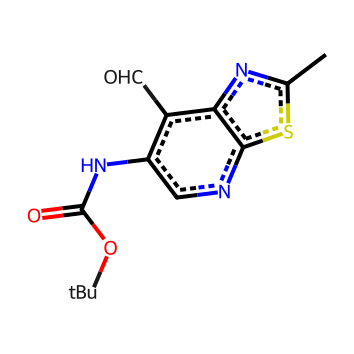 Cc1nc2c(C=O)c(NC(=O)OC(C)(C)C)cnc2s1